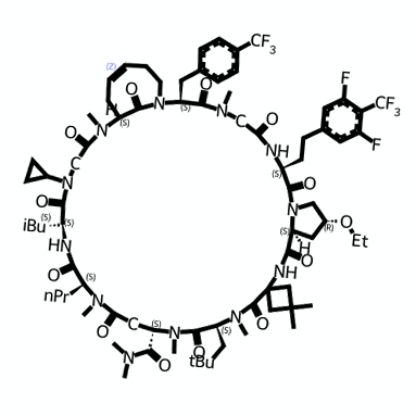 CCC[C@H]1C(=O)N[C@@H]([C@@H](C)CC)C(=O)N(C2CC2)CC(=O)N(C)[C@H]2C/C=C\CCN(C2=O)[C@@H](Cc2ccc(C(F)(F)F)cc2)C(=O)N(C)CC(=O)N[C@@H](CCc2cc(F)c(C(F)(F)F)c(F)c2)C(=O)N2C[C@H](OCC)C[C@H]2C(=O)NC2(CC(C)(C)C2)C(=O)N(C)[C@@H](CC(C)(C)C)C(=O)N(C)[C@H](C(=O)N(C)C)CC(=O)N1C